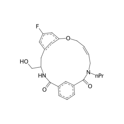 CCCN1CC=CCOc2cc(F)cc(c2)CC(CO)NC(=O)c2cccc(c2)C1=O